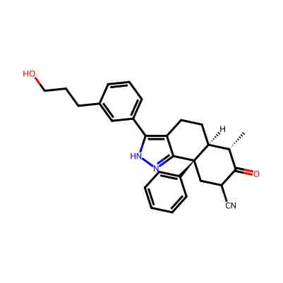 C[C@@H]1C(=O)C(C#N)C[C@]2(c3ccccc3)c3n[nH]c(-c4cccc(CCCO)c4)c3CC[C@@H]12